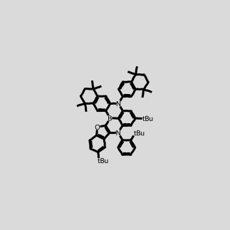 CC(C)(C)c1cc2c3c(c1)N(c1ccccc1C(C)(C)C)c1c(oc4ccc(C(C)(C)C)cc14)B3c1cc3c(cc1N2c1ccc2c(c1)C(C)(C)CCC2(C)C)C(C)(C)CCC3(C)C